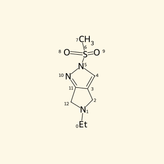 CCN1Cc2cn(S(C)(=O)=O)nc2C1